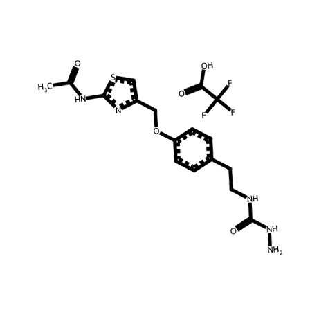 CC(=O)Nc1nc(COc2ccc(CCNC(=O)NN)cc2)cs1.O=C(O)C(F)(F)F